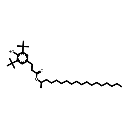 CCCCCCCCCCCCCCCCC(C)OC(=O)CCc1cc(C(C)(C)C)c(O)c(C(C)(C)C)c1